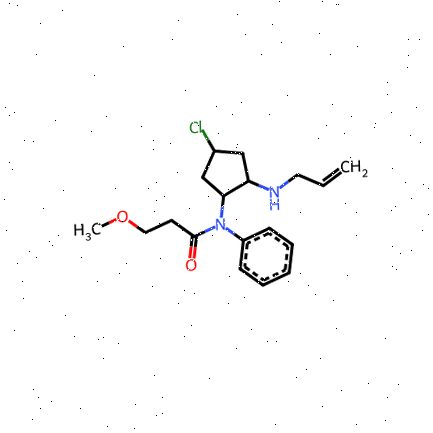 C=CCNC1CC(Cl)CC1N(C(=O)CCOC)c1ccccc1